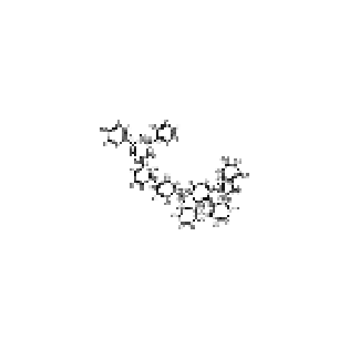 c1ccc(-c2nc(-c3ccccc3)nc(-c3cccc(-c4ccc(-n5c6ccccc6c6c7c8ccccc8c8nc9ccccc9n8c7ccc65)cc4)c3)n2)cc1